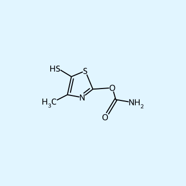 Cc1nc(OC(N)=O)sc1S